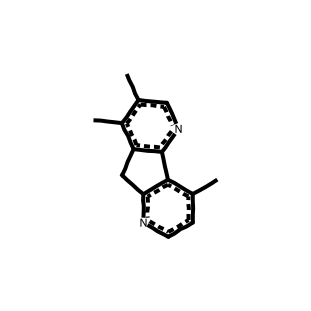 Cc1cnc2c(c1C)Cc1nccc(C)c1-2